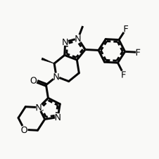 C[C@H]1c2nn(C)c(-c3cc(F)c(F)c(F)c3)c2CCN1C(=O)c1cnc2n1CCOC2